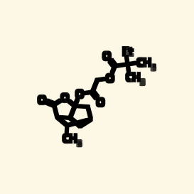 CCC(C)(C)C(=O)OCC(=O)OC12CC3CC1C(C(=O)O2)C3C